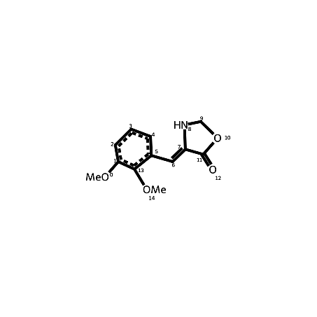 COc1cccc(/C=C2\NCOC2=O)c1OC